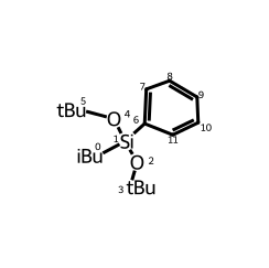 CCC(C)[Si](OC(C)(C)C)(OC(C)(C)C)c1ccccc1